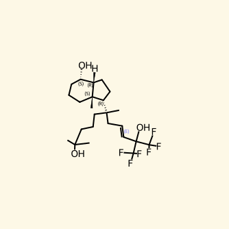 CC(C)(O)CCCC(C)(C/C=C/C(O)(C(F)(F)F)C(F)(F)F)[C@H]1CC[C@H]2[C@@H](O)CCC[C@@]12C